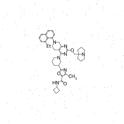 CCc1cccc2cccc(N3CCc4c(nc(OCC56CCCN5CCC6)nc4N4CCCC(c5nc(C)c(C(=O)NC6CCC6)o5)C4)C3)c12